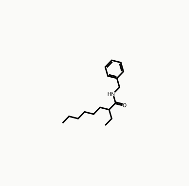 CCCCCCC(CC)C(=O)NCc1ccccc1